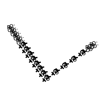 Cc1cc[n+](C(C)(C)C)o1.Cc1cc[n+](C(C)(C)C)o1.Cc1cc[n+](C(C)(C)C)o1.Cc1cc[n+](C(C)(C)C)o1.Cc1cc[n+](C(C)(C)C)o1.Cc1cc[n+](C(C)(C)C)o1.Cc1cc[n+](C(C)(C)C)o1.Cc1cc[n+](C(C)(C)C)o1.Cc1cc[n+](C(C)(C)C)o1.Cc1cc[n+](C(C)(C)C)o1.Cc1cc[n+](C(C)(C)C)o1.Cc1cc[n+](C(C)(C)C)o1.O=P([O-])([O-])F.O=P([O-])([O-])F.O=P([O-])([O-])F.O=P([O-])([O-])F.O=P([O-])([O-])F.O=P([O-])([O-])F